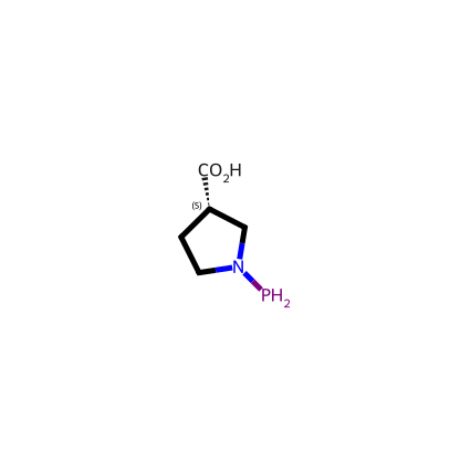 O=C(O)[C@H]1CCN(P)C1